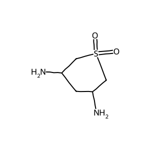 NC1CC(N)CS(=O)(=O)C1